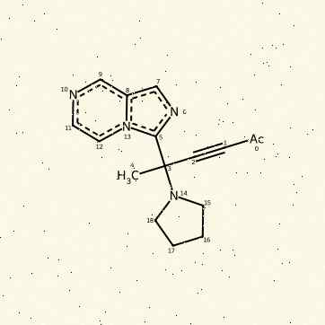 CC(=O)C#CC(C)(c1ncc2cnccn12)N1CCCC1